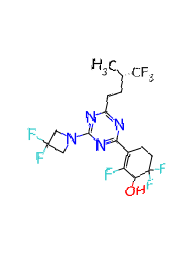 C[C@@H](CCc1nc(C2=C(F)C(O)C(F)(F)CC2)nc(N2CC(F)(F)C2)n1)C(F)(F)F